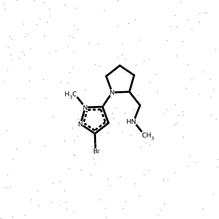 CNCC1CCCN1c1cc(Br)nn1C